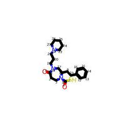 O=C1CCN(C(=O)S)C(CCc2ccccc2)CN1CCCN1CCCCC1